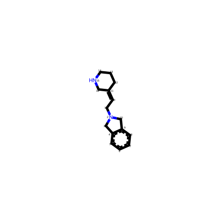 C(CN1Cc2ccccc2C1)=C1CCCNC1